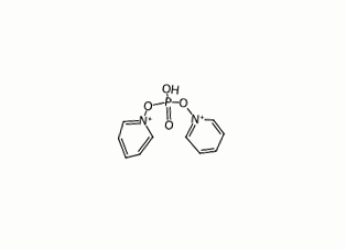 O=P(O)(O[n+]1ccccc1)O[n+]1ccccc1